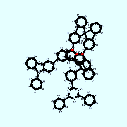 c1ccc(-c2ccc3c(c2)c2cc(-c4ccc5c(c4)c4ccccc4n5-c4ccccc4)ccc2n3-c2ccc3c(c2)C2(c4ccccc4-3)c3ccccc3-c3ccc(-n4c5ccccc5c5c(-c6cccc(-c7nc(-c8ccccc8)nc(-c8ccccc8)n7)c6)cccc54)cc32)cc1